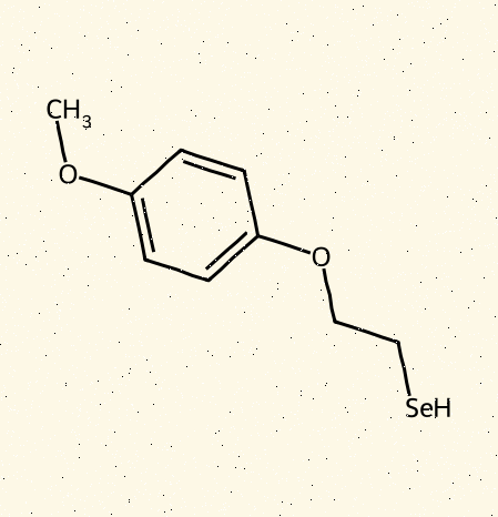 COc1ccc(OCC[SeH])cc1